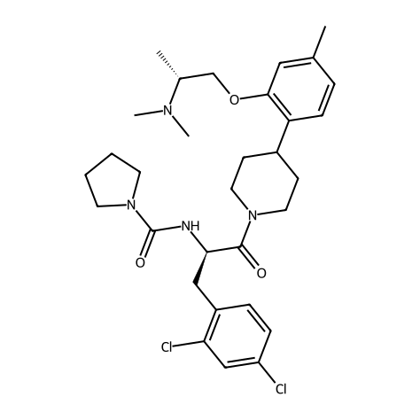 Cc1ccc(C2CCN(C(=O)[C@@H](Cc3ccc(Cl)cc3Cl)NC(=O)N3CCCC3)CC2)c(OC[C@@H](C)N(C)C)c1